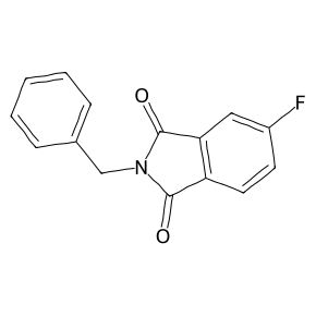 O=C1c2ccc(F)cc2C(=O)N1Cc1ccccc1